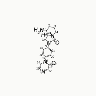 N[C@@H]1CCCN2C(=O)N(c3ccc(-n4ccncc4=O)cc3)C[C@H]12